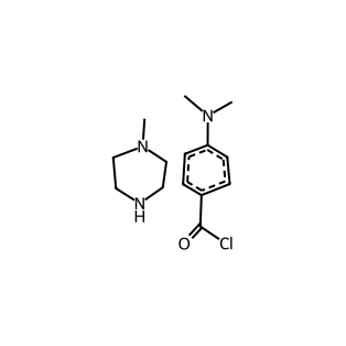 CN(C)c1ccc(C(=O)Cl)cc1.CN1CCNCC1